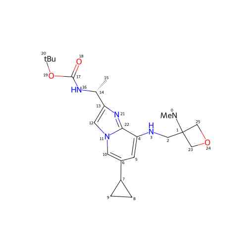 CNC1(CNc2cc(C3CC3)cn3cc([C@@H](C)NC(=O)OC(C)(C)C)nc23)COC1